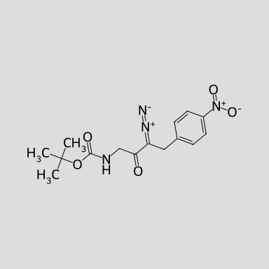 CC(C)(C)OC(=O)NCC(=O)C(Cc1ccc([N+](=O)[O-])cc1)=[N+]=[N-]